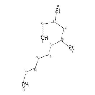 CCC(CO)CC(CC)CCCCCO